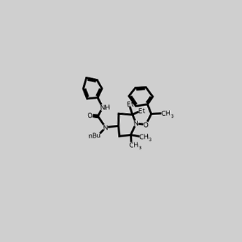 CCCCN(C(=O)Nc1ccccc1)C1CC(C)(C)N(OC(C)c2ccccc2)C(CC)(CC)C1